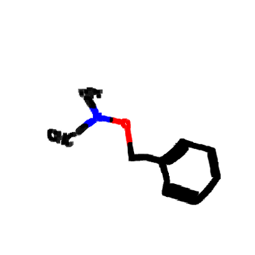 [CH2]CCN(C=O)OCc1ccccc1